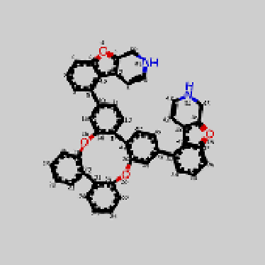 C1=Cc2c(oc3cccc(-c4ccc5c(c4)Oc4ccccc4-c4ccccc4Oc4cc(-c6cccc7oc8c(c67)C=CNC8)ccc4-5)c23)CN1